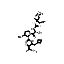 CC(C)CC(C)(CS(=O)(=O)C(C)(C)C)NC(=O)N[C@H](C(=O)N1CCC(C(C)(C)C)[C@H]1C(=O)NC(CC1CCC1)C(=O)C(N)=O)C(C)(C)C